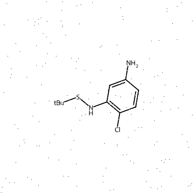 CC(C)(C)SNc1cc(N)ccc1Cl